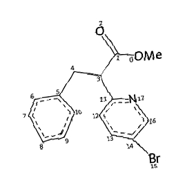 COC(=O)C(Cc1ccccc1)c1ccc(Br)cn1